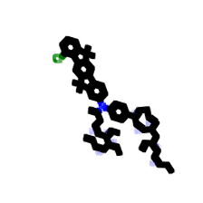 C=C\C=C/C(=C\C)C(/C=C\CC(=C)N(c1ccc(C2=C/C/C=C/C(C/C(C=C)=C/C=C\CC)/C=C\2)cc1)c1ccc2c(c1)C(C)(C)c1cc3c(cc1-2)C(C)(C)c1cccc(Cl)c1-3)=C\C